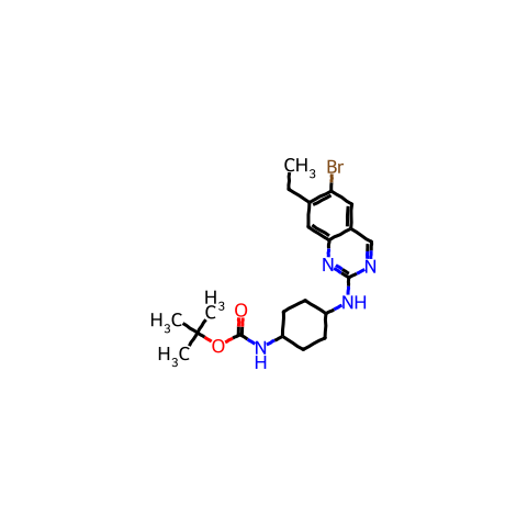 CCc1cc2nc(NC3CCC(NC(=O)OC(C)(C)C)CC3)ncc2cc1Br